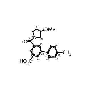 COC1CCN(C(=O)c2cc(C(=O)O)cc(-c3ccc(C)cc3)c2)C1